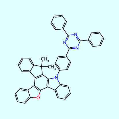 CC1(C)c2ccccc2-c2c1c1c(c3ccccc3n1-c1ccc(-c3nc(-c4ccccc4)nc(-c4ccccc4)n3)cc1)c1oc3ccccc3c21